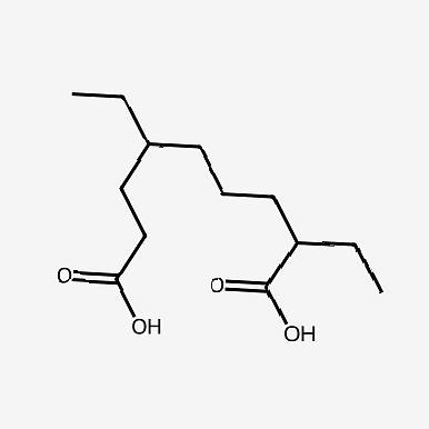 CCC(CCCC(CC)C(=O)O)CCC(=O)O